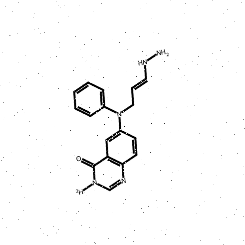 [2H]n1cnc2ccc(N(CC=CNN)c3ccccc3)cc2c1=O